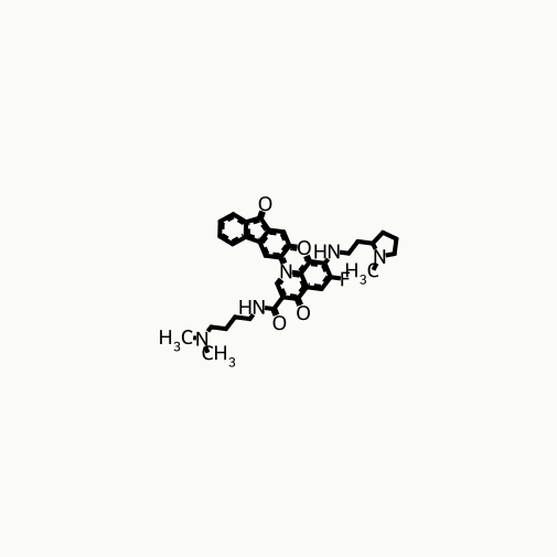 CN(C)CCCCNC(=O)c1cn2c3cc4c(cc3oc3c(NCCC5CCCN5C)c(F)cc(c1=O)c32)c(=O)c1ccccc14